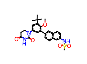 COc1c(-c2ccc3cc(NS(C)(=O)=O)ccc3c2)cc(N2CCC(=O)NC2=O)cc1C(C)(C)C